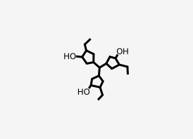 CCC1CC(C(C2CC(O)C(CC)C2)C2CC(O)C(CC)C2)CC1O